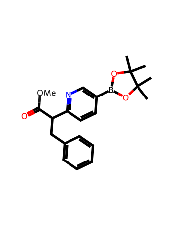 COC(=O)C(Cc1ccccc1)c1ccc(B2OC(C)(C)C(C)(C)O2)cn1